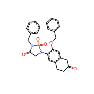 O=C1CCc2cc(N3CC(=O)N(Cc4ccccc4)S3(=O)=O)c(OCc3ccccc3)cc2C1